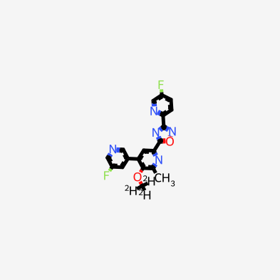 [2H]C([2H])([2H])Oc1c(-c2cncc(F)c2)cc(-c2nc(-c3ccc(F)cn3)no2)nc1C